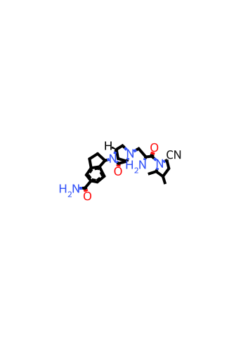 CC1CC(C#N)N(C(=O)C(N)CN2C[C@@H]3CC2C(=O)N3C2CCc3cc(C(N)=O)ccc32)C1C